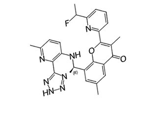 Cc1cc([C@@H](C)Nc2ccc(C)nc2-c2nn[nH]n2)c2oc(-c3cccc(C(C)F)n3)c(C)c(=O)c2c1